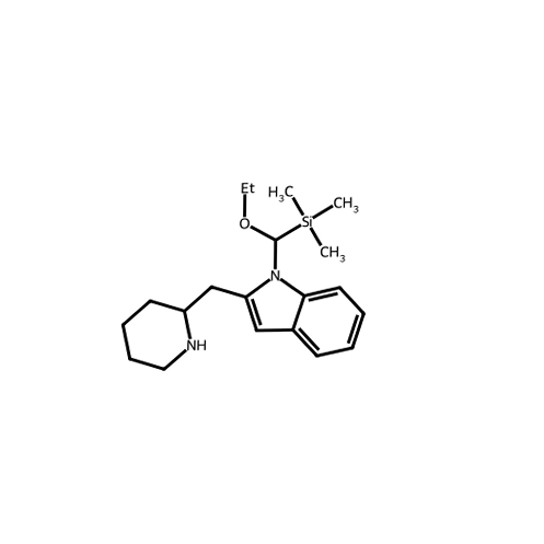 CCOC(n1c(CC2CCCCN2)cc2ccccc21)[Si](C)(C)C